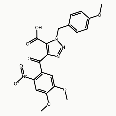 COc1ccc(Cn2nnc(C(=O)c3cc(OC)c(OC)cc3[N+](=O)[O-])c2C(=O)O)cc1